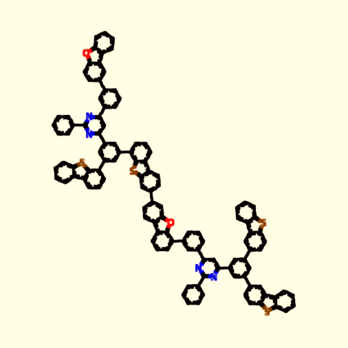 c1ccc(-c2nc(-c3cc(-c4ccc5sc6ccccc6c5c4)cc(-c4ccc5sc6ccccc6c5c4)c3)cc(-c3cccc(-c4cccc5c4oc4cc(-c6ccc7c(c6)sc6c(-c8cc(-c9cc(-c%10cccc(-c%11ccc%12oc%13ccccc%13c%12c%11)c%10)nc(-c%10ccccc%10)n9)cc(-c9cccc%10c9sc9ccccc9%10)c8)cccc67)ccc45)c3)n2)cc1